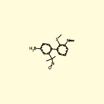 Bc1ccc(-c2cccc(N=C)c2SC)c(C(C)(C)N=O)c1